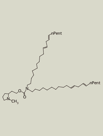 CCCCCC=CCC=CCCCCCCCCCCN(CCCCCCCCCCC=CCC=CCCCCC)C(=O)OCCC1CCCN1C